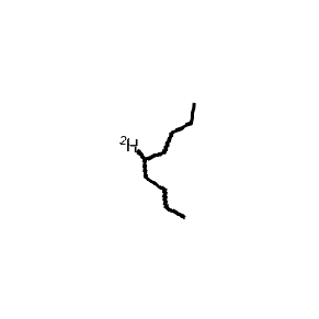 [2H]C(CCCC)CCCC